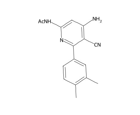 CC(=O)Nc1cc(N)c(C#N)c(-c2ccc(C)c(C)c2)n1